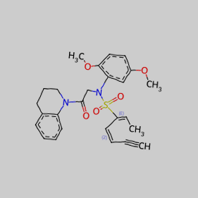 C#C/C=C\C(=C/C)S(=O)(=O)N(CC(=O)N1CCCc2ccccc21)c1cc(OC)ccc1OC